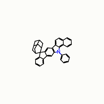 c1ccc(-n2c3cc4c(cc3c3ccc5ccccc5c32)C2(c3ccccc3-4)C3CC4CC(C3)CC2C4)cc1